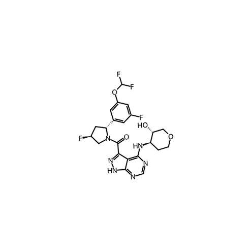 O=C(c1n[nH]c2ncnc(N[C@@H]3CCOC[C@H]3O)c12)N1C[C@@H](F)C[C@@H]1c1cc(F)cc(OC(F)F)c1